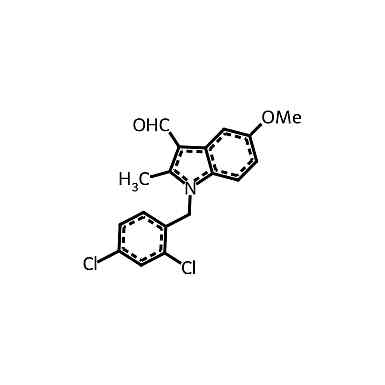 COc1ccc2c(c1)c(C=O)c(C)n2Cc1ccc(Cl)cc1Cl